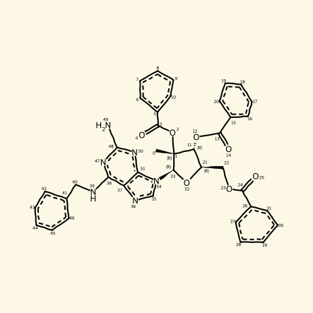 C[C@@]1(OC(=O)c2ccccc2)[C@H](OC(=O)c2ccccc2)[C@@H](COC(=O)c2ccccc2)O[C@H]1n1cnc2c(NCc3ccccc3)nc(N)nc21